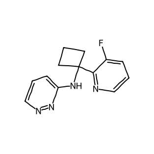 Fc1cccnc1C1(Nc2cccnn2)CCC1